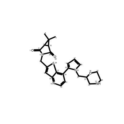 CC1(C)C2C(=O)N(Cc3cc4nccc(-c5cccn5CC5CNCCO5)c4s3)C(=O)C21